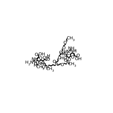 CCCOCCOCCOCCOCCC(=O)N(CCCCN(C)C(=O)CO[C@@H]([C@@H]1OC(C(=O)O)=C[C@H](NC(=N)N)[C@H]1NC(C)=O)[C@H](O)CO)CCOCCN(C)C(=O)O[C@@H]([C@@H]1OC(C(=O)O)=C[C@H](NC(=N)N)[C@H]1C)[C@H](O)CO